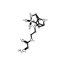 C=CC(=O)OCCOC1C2CC3C(O2)C1OS3(=O)=O